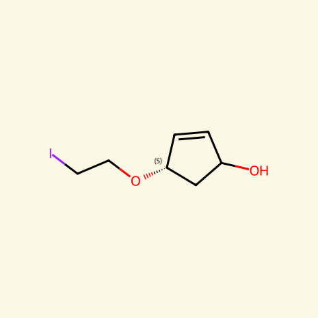 OC1C=C[C@@H](OCCI)C1